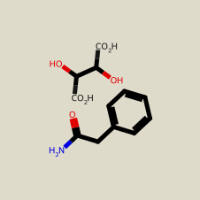 NC(=O)Cc1ccccc1.O=C(O)C(O)C(O)C(=O)O